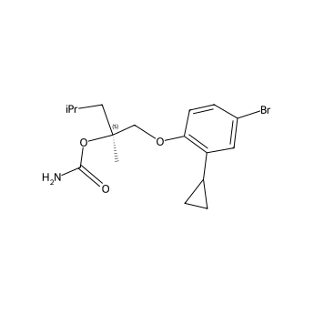 CC(C)C[C@@](C)(COc1ccc(Br)cc1C1CC1)OC(N)=O